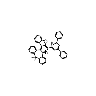 CC1(C)c2ccccc2-c2nc(-c3cc(-c4ccccc4)cc(-c4ccccc4)n3)c3oc4ccccc4c3c2-c2ccccc21